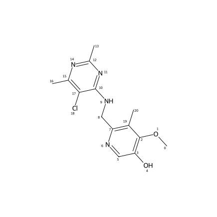 COc1c(O)cnc(CNc2nc(C)nc(C)c2Cl)c1C